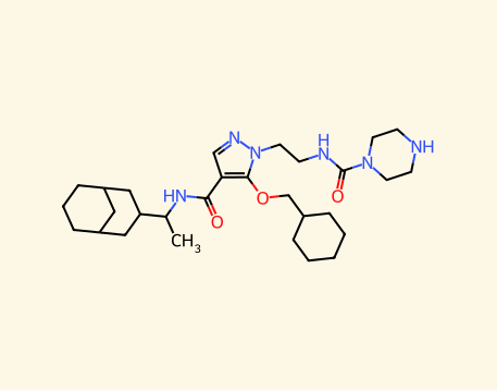 CC(NC(=O)c1cnn(CCNC(=O)N2CCNCC2)c1OCC1CCCCC1)C1CC2CCCC(C2)C1